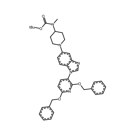 CN(C(=O)OC(C)(C)C)C1CCN(c2ccc3c(c2)ncn3-c2ccc(OCc3ccccc3)nc2OCc2ccccc2)CC1